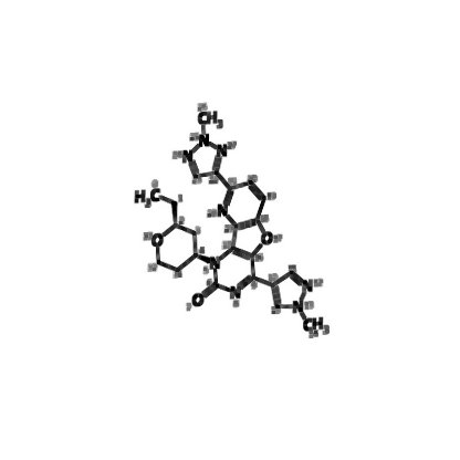 CC[C@H]1C[C@@H](n2c(=O)nc(-c3cnn(C)c3)c3oc4ccc(-c5cnn(C)n5)nc4c32)CCO1